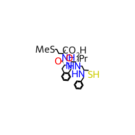 CSCC[C@H](NC(=O)[C@H]1Cc2ccccc2CN1C(=O)[C@@H](NCC(CS)NCc1ccccc1)C(C)C)C(=O)O